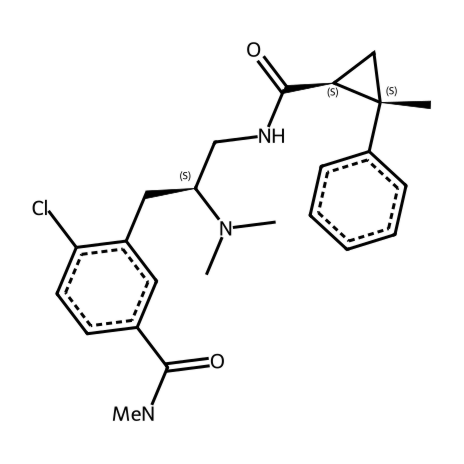 CNC(=O)c1ccc(Cl)c(C[C@@H](CNC(=O)[C@H]2C[C@]2(C)c2ccccc2)N(C)C)c1